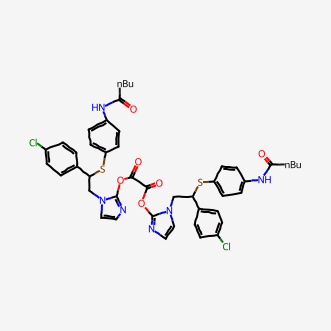 CCCCC(=O)Nc1ccc(SC(Cn2ccnc2OC(=O)C(=O)Oc2nccn2CC(Sc2ccc(NC(=O)CCCC)cc2)c2ccc(Cl)cc2)c2ccc(Cl)cc2)cc1